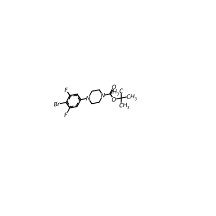 CC(C)(C)OC(=O)N1CCN(c2cc(F)c(Br)c(F)c2)CC1